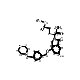 CC(C)(C)OC(=O)CC[C@@H](C(N)=O)N1Cc2c(OCc3ccc(CN4CCOCC4)cc3)cc(F)cc2C1=O